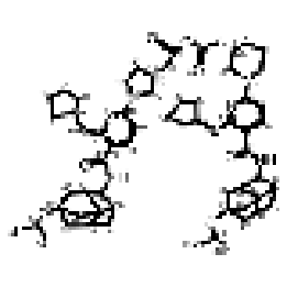 O=C(C[C@@H]1CCCN(c2ccc(C(=O)NC3C4CC5CC3CC(OC(F)F)(C5)C4)c(SC3CCCC3)n2)C1)OC(=O)C[C@@H]1CCN(c2ccc(C(=O)NC3C4CC5CC3CC(OC(F)F)(C5)C4)c(SC3CCCC3)n2)C1